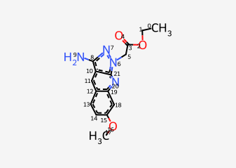 CCOC(=O)Cn1nc(N)c2cc3ccc(OC)cc3nc21